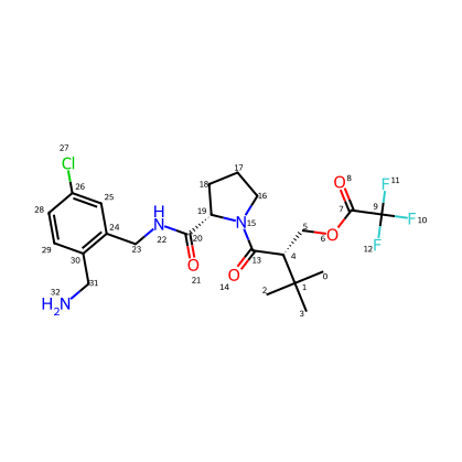 CC(C)(C)[C@@H](COC(=O)C(F)(F)F)C(=O)N1CCC[C@H]1C(=O)NCc1cc(Cl)ccc1CN